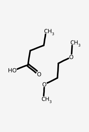 CCCC(=O)O.COCCOC